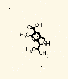 Cc1nc2c(cc1C(=O)O)CNC2C(C)C